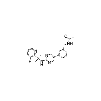 CC(=O)NCc1cccc(-c2cnc(NC(C)(C)c3ncccc3F)nc2)c1